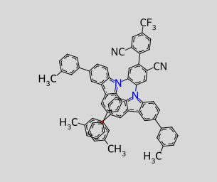 Cc1cccc(-c2ccc3c(c2)c2cc(-c4cccc(C)c4)ccc2n3-c2cc(C#N)c(-c3ccc(C(F)(F)F)cc3C#N)cc2-n2c3ccc(-c4cccc(C)c4)cc3c3cc(-c4cccc(C)c4)ccc32)c1